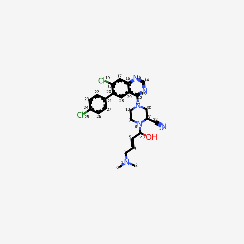 CN(C)C/C=C/C(O)N1CCN(c2ncnc3cc(Cl)c(-c4ccc(Cl)cc4)cc23)CC1C#N